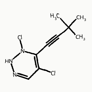 CC(C)(C)C#CC1=C(Cl)C=NNN1Cl